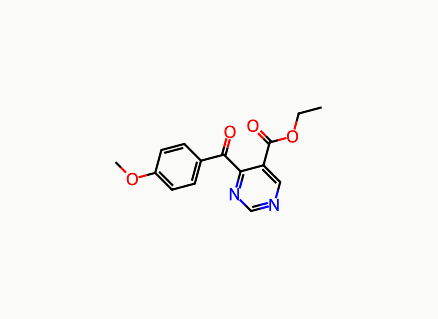 CCOC(=O)c1cncnc1C(=O)c1ccc(OC)cc1